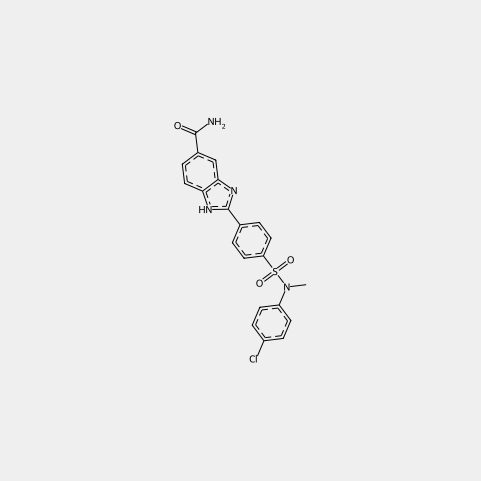 CN(c1ccc(Cl)cc1)S(=O)(=O)c1ccc(-c2nc3cc(C(N)=O)ccc3[nH]2)cc1